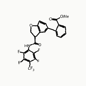 COC(=O)c1ccccc1-c1ccc2c(c1)C(C(=O)Nc1c(F)c(F)c(C(F)(F)F)c(F)c1F)CO2